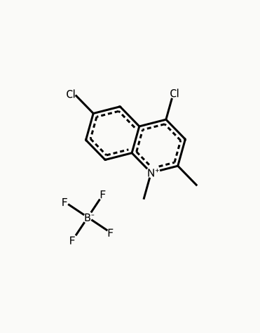 Cc1cc(Cl)c2cc(Cl)ccc2[n+]1C.F[B-](F)(F)F